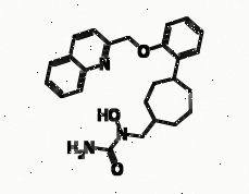 NC(=O)N(O)CC1CCCC(c2ccccc2OCc2ccc3ccccc3n2)CC1